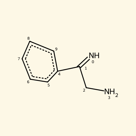 N=C(CN)c1ccccc1